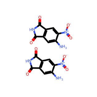 Nc1cc2c(cc1[N+](=O)[O-])C(=O)NC2=O.Nc1cc2c(cc1[N+](=O)[O-])C(=O)NC2=O